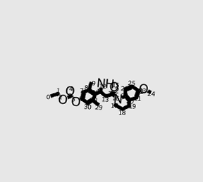 CCOC(=O)Oc1cc(C)c(C(N)CC(=O)N2CCCc3cc(OC)ccc32)c(C)c1